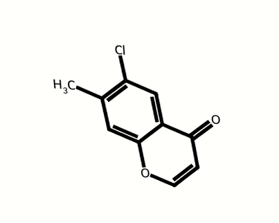 Cc1cc2occc(=O)c2cc1Cl